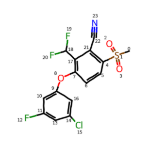 CS(=O)(=O)c1ccc(Oc2cc(F)cc(Cl)c2)c(C(F)F)c1C#N